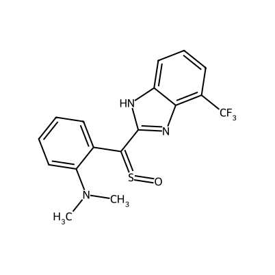 CN(C)c1ccccc1C(=S=O)c1nc2c(C(F)(F)F)cccc2[nH]1